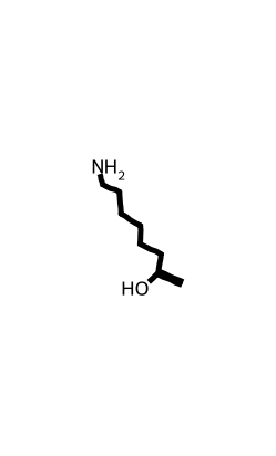 C=C(O)CCCCCCN